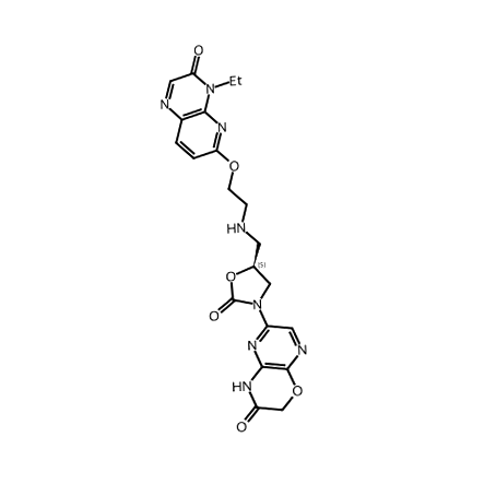 CCn1c(=O)cnc2ccc(OCCNC[C@H]3CN(c4cnc5c(n4)NC(=O)CO5)C(=O)O3)nc21